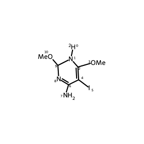 [2H]N1C(OC)=C(I)C(N)=NC1OC